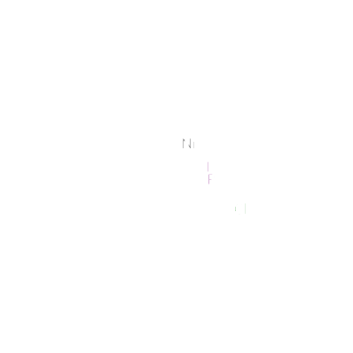 C=CCPCl.[Ni]